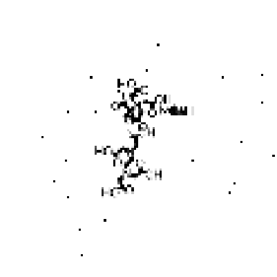 N.O=C(O)CN(CCN(CC(=O)O)CC(=O)O)CC(=O)O.O=C([O-])C[N+](CC(=O)O)(CC(=O)O)C1(C(=O)O)CC1.[NaH].[NaH]